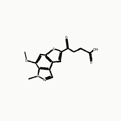 COc1cc2sc(C(=O)CCC(=O)O)cc2c2cnn(C)c12